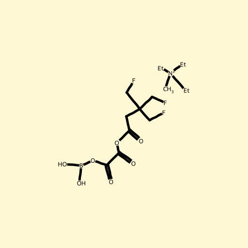 CC[N+](C)(CC)CC.O=C(CC(CF)(CF)CF)OC(=O)C(=O)OB(O)O